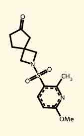 COc1ccc(S(=O)(=O)N2CC3(CCC(=O)C3)C2)c(C)n1